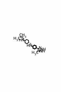 CC(C)SN[C@H]1CC[C@H](CNc2ccc(C3=NNNN3C)cc2)CC1